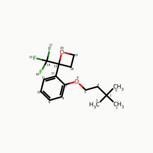 CC(C)(C)CCOc1ccccc1C1(C(F)(F)F)CCO1